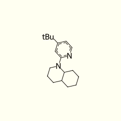 CC(C)(C)c1ccnc(N2CCCC3CCCCC32)c1